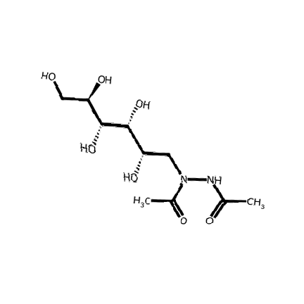 CC(=O)NN(C[C@H](O)[C@@H](O)[C@H](O)[C@H](O)CO)C(C)=O